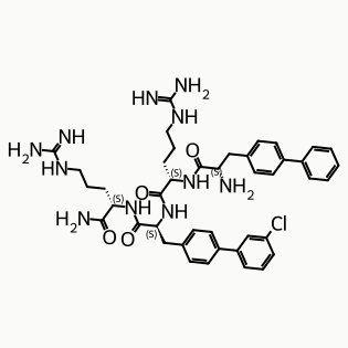 N=C(N)NCCC[C@H](NC(=O)[C@H](Cc1ccc(-c2cccc(Cl)c2)cc1)NC(=O)[C@H](CCCNC(=N)N)NC(=O)[C@@H](N)Cc1ccc(-c2ccccc2)cc1)C(N)=O